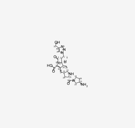 C[C@H]([C@H]1C(=O)N2C(C(=O)O)=C(SC3CN[C@H](C(=O)N4CC[C@@H](N)C4)C3)[C@H](C)[C@H]12)n1cc(CO)nn1